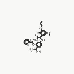 CCCOc1cc(OC)cc(C(Nc2ccc(C(=N)N)cc2)C(=O)NNC(=O)c2ccccn2)c1F